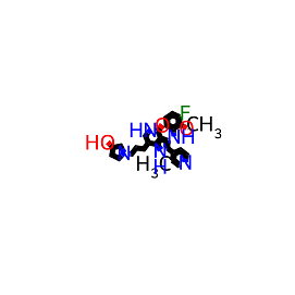 COc1c(F)cccc1Nc1c(-c2ccncc2C)[nH]c2c1C(=O)NCC2CCCN1CCC(O)C1